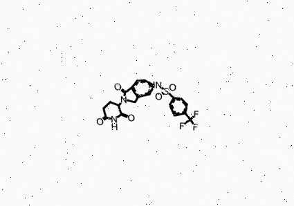 O=C1CCC(N2Cc3cc(NS(=O)(=O)c4ccc(C(F)(F)F)cc4)ccc3C2=O)C(=O)N1